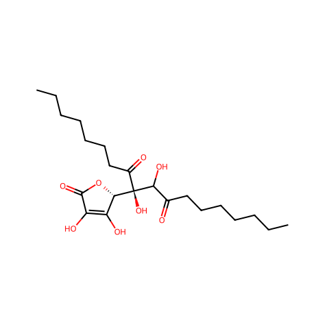 CCCCCCCC(=O)C(O)[C@@](O)(C(=O)CCCCCCC)[C@H]1OC(=O)C(O)=C1O